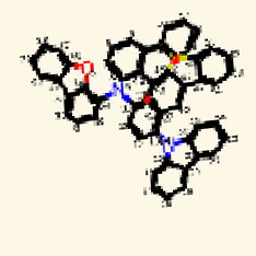 c1ccc(-c2cccc(N(c3ccc(-n4c5ccccc5c5ccccc54)cc3)c3cccc4c3oc3ccccc34)c2-c2cccc3c2sc2ccccc23)cc1